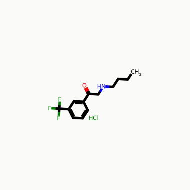 CCCCNCC(=O)c1cccc(C(F)(F)F)c1.Cl